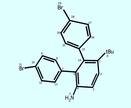 CC(C)(C)c1ccc(N)c(-c2ccc(Br)cc2)c1-c1ccc(Br)cc1